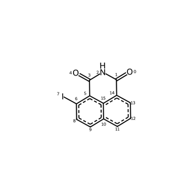 O=C1NC(=O)c2c(I)ccc3cccc1c23